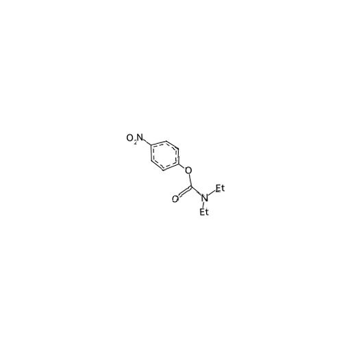 CCN(CC)C(=O)Oc1ccc([N+](=O)[O-])cc1